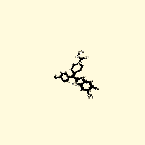 CC(C)(C)OC(=O)N1CCC(=C(c2ccc(Br)cc2)c2nc3cc(F)c(C(F)(F)F)cc3[nH]2)CC1